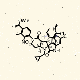 C=N/C(Cl)=C(F)\C(=C/C)[C@H]1[C@@H]2C(=O)N(c3ccc(C(=O)OC)c(C)c3[N+](=O)[O-])CC[C@@H]2N(CC2CC2)[C@@]12C(=O)Nc1cc(Cl)ccc12